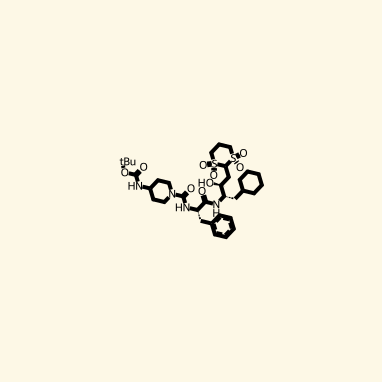 CC(C)(C)OC(=O)NC1CCN(C(=O)N[C@@H](Cc2ccccc2)C(=O)N[C@@H](CC2CCCCC2)[C@@H](O)CC2S(=O)(=O)CCCS2(=O)=O)CC1